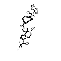 CN1CCn2c(C(=O)C(F)(F)F)ccc2C12CCN(C(=O)c1ccc(S(=O)(=O)C(C)(C)C)cc1)CC2